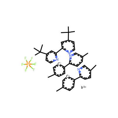 CC(C)(C)c1ccnc(-c2cc(C(C)(C)C)ccn2)c1.Cc1c[c-]c(-c2ccc(C)cn2)cc1.Cc1c[c-]c(-c2ccc(C)cn2)cc1.F[P-](F)(F)(F)(F)F.[Ir+3]